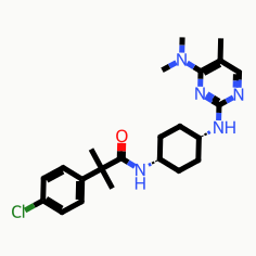 Cc1cnc(N[C@H]2CC[C@@H](NC(=O)C(C)(C)c3ccc(Cl)cc3)CC2)nc1N(C)C